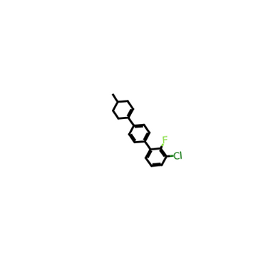 CC1CC=C(c2ccc(-c3cccc(Cl)c3F)cc2)CC1